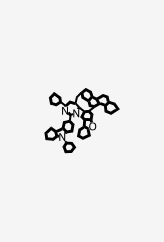 C1=C2Cc3ccc4c(c3)cc(c3c5ccccc5ccc43)-c3cc4oc5ccccc5c4cc3C2=NC(c2ccc3c(c2)c2ccccc2n3-c2ccccc2)=NC=1c1ccccc1